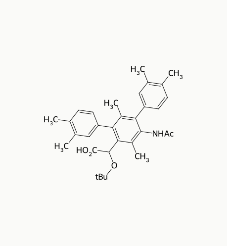 CC(=O)Nc1c(C)c(C(OC(C)(C)C)C(=O)O)c(-c2ccc(C)c(C)c2)c(C)c1-c1ccc(C)c(C)c1